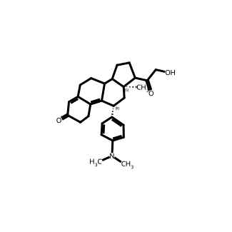 CN(C)c1ccc([C@H]2C[C@]3(C)C(C(=O)CO)CCC3C3CCC4=CC(=O)CCC4=C32)cc1